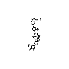 CCCCCC1CCC(c2ccc(-c3cc(F)c(C(F)(F)OC4CCC(c5cc(F)c(F)c(F)c5)CC4)c(F)c3)c(F)c2)CC1